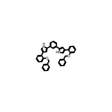 c1ccc(COc2ccccc2-c2c[nH]c(-c3cccc(-c4cc(-c5ccccc5OCc5ccccc5)c[nH]4)c3)c2)cc1